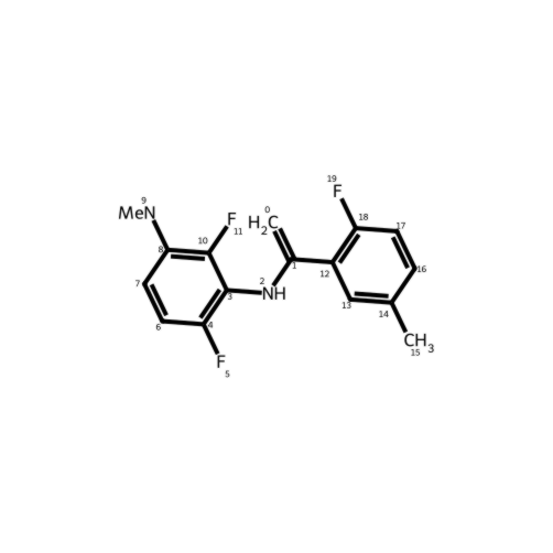 C=C(Nc1c(F)ccc(NC)c1F)c1cc(C)ccc1F